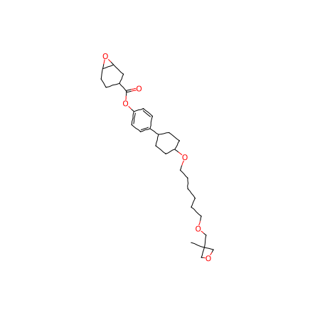 CC1(COCCCCCCOC2CCC(c3ccc(OC(=O)C4CCC5OC5C4)cc3)CC2)COC1